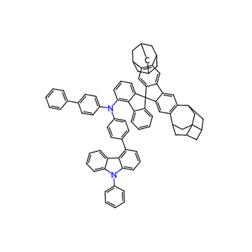 c1ccc(-c2ccc(N(c3ccc(-c4cccc5c4c4ccccc4n5-c4ccccc4)cc3)c3cccc4c3-c3ccccc3C43c4cc5c(cc4-c4cc6c(cc43)C3CC4CC7CC6CC74C3)C3CC4CC(C3)CC5C4)cc2)cc1